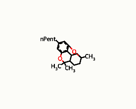 CCCCCc1cc2c3c(c1)OC(C)(C)C1CCC(C)(CC31)O2